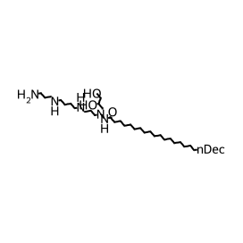 CCCCCCCCCCCCCCCCCCCCCCCCCCCC(=O)NN(CCCNCCCCNCCCN)CC(O)CO